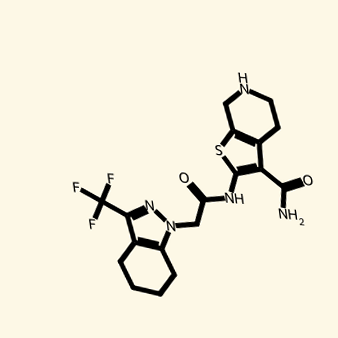 NC(=O)c1c(NC(=O)Cn2nc(C(F)(F)F)c3c2CCCC3)sc2c1CCNC2